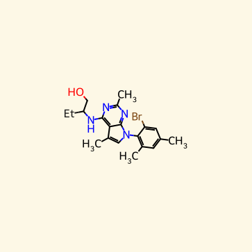 CCC(CO)Nc1nc(C)nc2c1c(C)cn2-c1c(C)cc(C)cc1Br